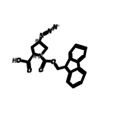 [N-]=[N+]=N[C@@H]1C[C@H](C(=O)O)N(C(=O)OCC2c3ccccc3-c3ccccc32)C1